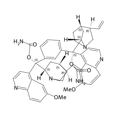 C=C[C@H]1CN2CC[C@H]1C[C@H]2[C@](OC(N)=O)(c1cccc([C@](OC(N)=O)(c2ccnc3ccc(OC)cc23)[C@@H]2C[C@@H]3CCN2C[C@@H]3C=C)c1)c1ccnc2ccc(OC)cc12